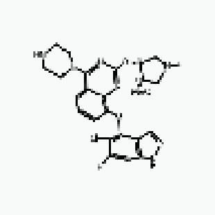 CO[C@@H]1CN(C)C[C@H]1Oc1nc(N2CCNCC2)c2cccc(Oc3c(Cl)c(F)cc4[nH]ncc34)c2n1